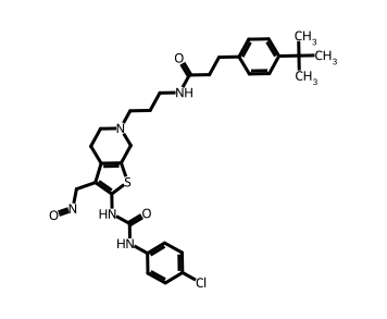 CC(C)(C)c1ccc(CCC(=O)NCCCN2CCc3c(sc(NC(=O)Nc4ccc(Cl)cc4)c3CN=O)C2)cc1